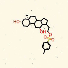 Cc1ccc(S(=O)(=O)OC[C@@H](C)C2CCC3C4CC[C@@H]5C[C@H](O)CC[C@]5(C)C4C[C@H](O)[C@@]32C)cc1